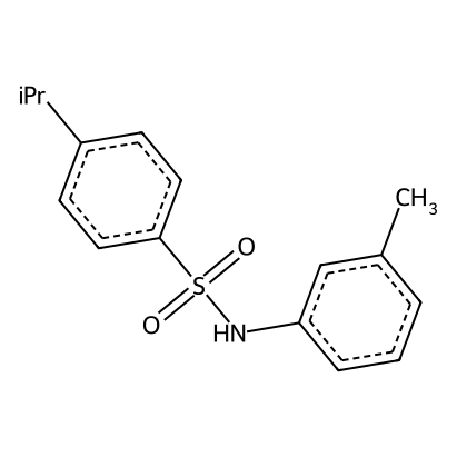 Cc1cccc(NS(=O)(=O)c2ccc(C(C)C)cc2)c1